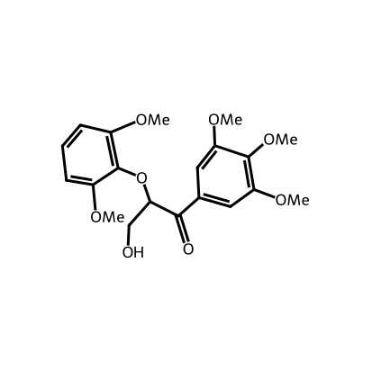 COc1cc(C(=O)C(CO)Oc2c(OC)cccc2OC)cc(OC)c1OC